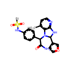 CCS(=O)(=O)Nc1ccc(C(C(N)=O)N2c3c(C(=O)O)ccnc3NC2c2ccoc2)cc1